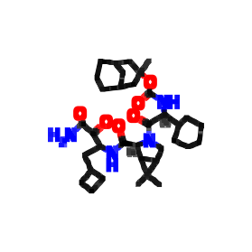 CC1(OC(=O)N[C@H](C(=O)N2CC3C([C@H]2C(=O)NC(CC2CCC2)C(=O)C(N)=O)C3(C)C)C2CCCCC2)CC2CCCC(C2)C1